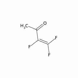 CC(=O)C(F)=C(F)F